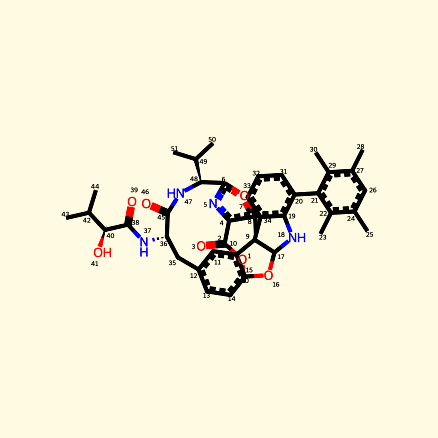 COC(=O)c1nc2oc1[C@]13c4cc(ccc4OC1Nc1c(-c4c(C)c(C)cc(C)c4C)cccc13)C[C@H](NC(=O)[C@@H](O)C(C)C)C(=O)N[C@H]2C(C)C